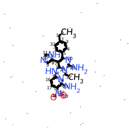 CCc1ccc(C2=C(c3cnc[nH]3)C(Nc3ccc([N+](=O)[O-])c(N)n3)N(CC)C(N)=N2)cc1